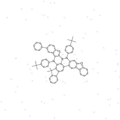 CC(C)(C)c1ccc(N2B3c4sc5ccc(-c6ccccc6)cc5c4N(c4ccc(C(C)(C)C)cc4)c4c3c(cc3c4C(C)(C)c4ccccc4-3)-c3cc4c(cc32)oc2ccccc24)cc1